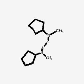 CN(SSN(C)C1CCCC1)C1CCCC1